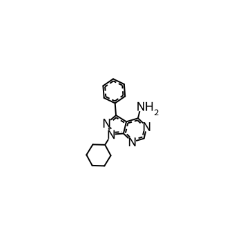 Nc1ncnc2c1c(-c1ccccc1)nn2C1CCCCC1